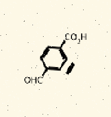 C=C.O=Cc1ccc(C(=O)O)cc1